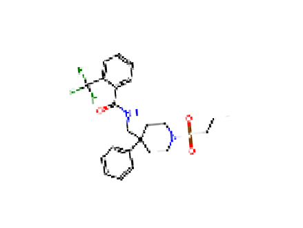 CCCS(=O)(=O)N1CCC(CNC(=O)c2ccccc2C(F)(F)F)(c2ccccc2)CC1